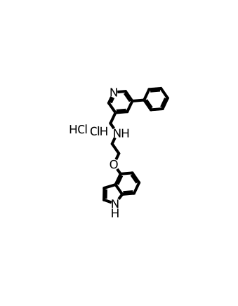 Cl.Cl.c1ccc(-c2cncc(CNCCOc3cccc4[nH]ccc34)c2)cc1